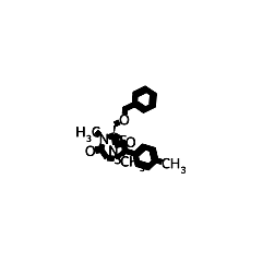 Cc1ccc(C2SC3C(=O)N(C)[C@@](COCc4ccccc4)(S2)C(=O)N3C)cc1